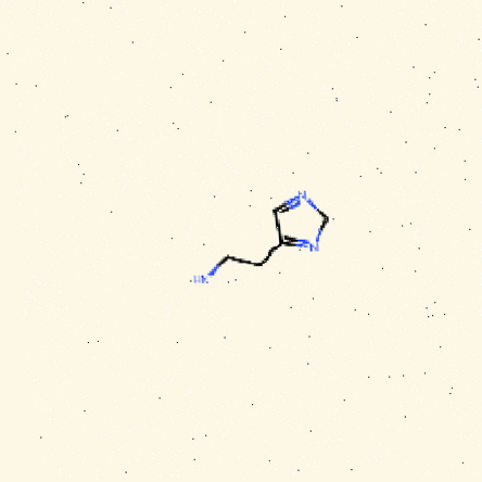 [NH]CCC1=NCN=C1